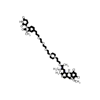 C=c1ncc(C#N)c(Nc2cc(OC)c(Cl)cc2Cl)/c1=C/C(OC)=C(\C)OCCCN1CCN(CCOCCOCCOCCCc2ccc3c(c2)n(C)c(=O)n3C2CCC(=O)NC2=O)CC1